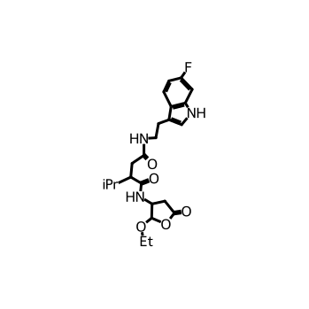 CCOC1OC(=O)CC1NC(=O)C(CC(=O)NCCc1c[nH]c2cc(F)ccc12)C(C)C